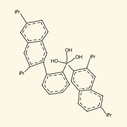 CC(C)c1ccc2cc(-c3ccccc3P(O)(O)(O)c3cc4ccc(C(C)C)cc4cc3C(C)C)c(C(C)C)cc2c1